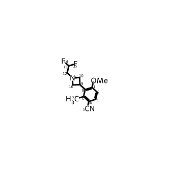 COc1ccc(C#N)c(C)c1C1CN(CC(F)F)C1